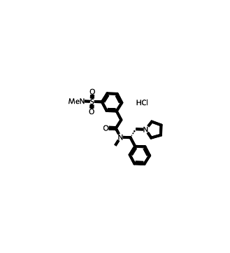 CNS(=O)(=O)c1cccc(CC(=O)N(C)[C@H](CN2CCCC2)c2ccccc2)c1.Cl